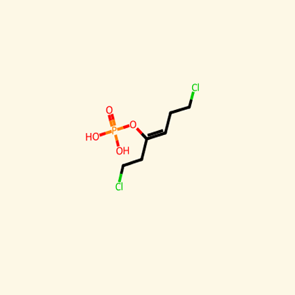 O=P(O)(O)OC(=CCCCl)CCCl